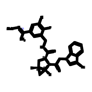 CN/N=C(\N)c1cc(Cl)c(F)c(CNC(=O)[C@@H]2C[C@H]3C[C@H]3N2C(=O)Cn2cc(C(C)=O)c3ccccc32)c1